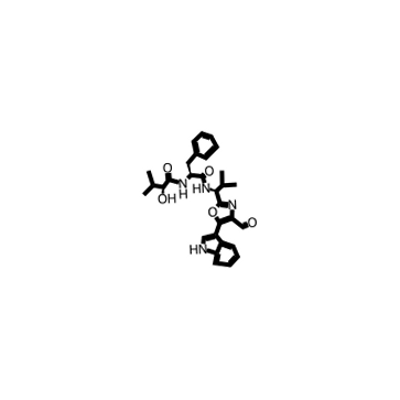 CC(C)[C@H](O)C(=O)N[C@@H](Cc1ccccc1)C(=O)N[C@H](c1nc(C=O)c(-c2c[nH]c3ccccc23)o1)C(C)C